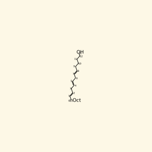 CCCCCCCCC=CCC=CCC=CCCCCO